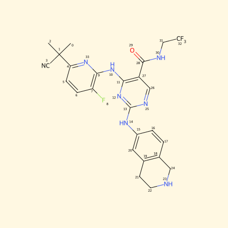 CC(C)(C#N)c1ccc(F)c(Nc2nc(Nc3ccc4c(c3)CCNC4)ncc2C(=O)NCC(F)(F)F)n1